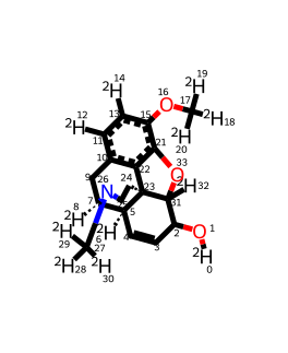 [2H]OC1C=C[C@@]2([2H])[C@@]3([2H])Cc4c([2H])c([2H])c(OC([2H])([2H])[2H])c5c4[C@@]2(CCN3C([2H])([2H])[2H])C1([2H])O5